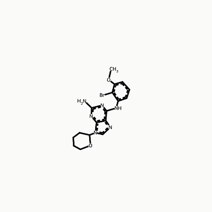 COc1cccc(Nc2nc(N)nc3c2ncn3C2CCCCO2)c1Br